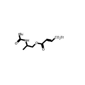 CCOC(=O)/C=C/C(=O)OCC(C)NC(=O)C(C)(C)C